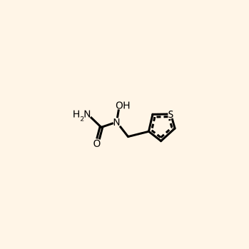 NC(=O)N(O)Cc1ccsc1